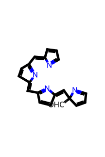 O=CC1(C=C2C=CC(C=C3C=CC(C=C4C=CC=N4)=N3)=N2)C=CC=N1